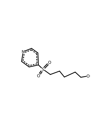 [O]CCCCCS(=O)(=O)c1ccncc1